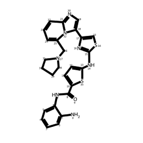 Nc1ccccc1NC(=O)c1ccc(Nc2nc(-c3cnc4cccc(CN5CCCC5)n34)cs2)s1